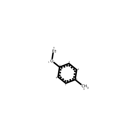 C[CH]Oc1ccc(C)cc1